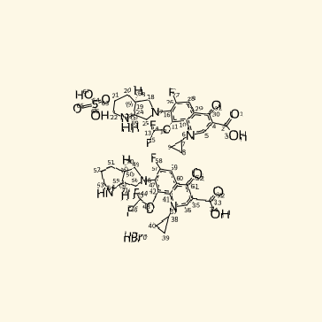 Br.O=C(O)c1cn(C2CC2)c2c(OC(F)F)c(N3C[C@@H]4CCCN[C@@H]4C3)c(F)cc2c1=O.O=C(O)c1cn(C2CC2)c2c(OC(F)F)c(N3C[C@@H]4CCCN[C@@H]4C3)c(F)cc2c1=O.O=S(=O)(O)O